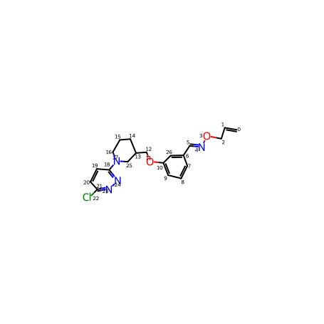 C=CCON=Cc1cccc(OCC2CCCN(c3ccc(Cl)nn3)C2)c1